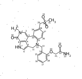 Cn1cc2c3c(c[nH]c3c1=O)CN(Cc1ccccc1OCC(N)=O)c1ccc(CS(C)(=O)=O)cc1-2